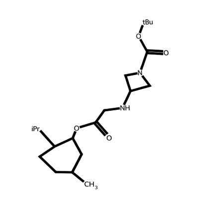 CC1CCC(C(C)C)C(OC(=O)CNC2CN(C(=O)OC(C)(C)C)C2)C1